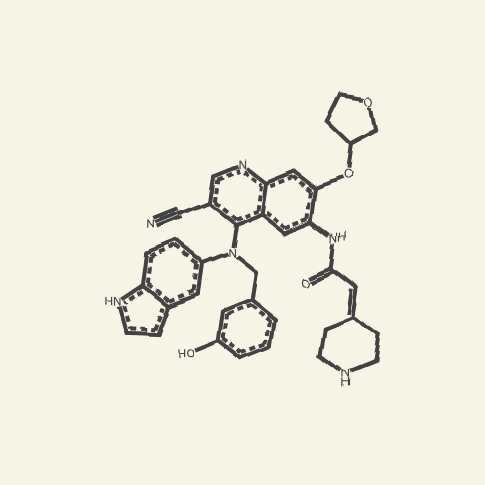 N#Cc1cnc2cc(OC3CCOC3)c(NC(=O)C=C3CCNCC3)cc2c1N(Cc1cccc(O)c1)c1ccc2[nH]ccc2c1